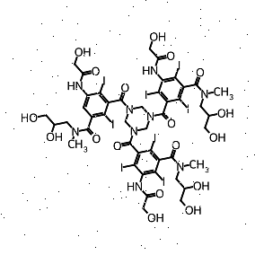 CN(CC(O)CO)C(=O)c1cc(NC(=O)CO)c(I)c(C(=O)N2CN(C(=O)c3c(I)c(NC(=O)CO)c(I)c(C(=O)N(C)CC(O)CO)c3I)CN(C(=O)c3c(I)c(NC(=O)CO)c(I)c(C(=O)N(C)CC(O)CO)c3I)C2)c1I